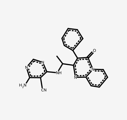 CC(Nc1ncnc(N)c1C#N)c1nc2ccccn2c(=O)c1-c1ccccc1